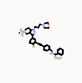 CS(=O)(=O)N1CCc2c(c(-c3ccc(Cl)c(C#Cc4ccc(CN[C@@H](C(=O)O)c5ccccc5)cc4)c3)nn2CCCN2CCOCC2)C1